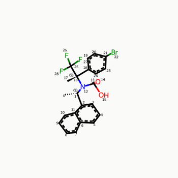 C[C@@H](c1cccc2ccccc12)N(C(=O)O)[C@@](C)(c1ccc(Br)cc1)C(F)(F)F